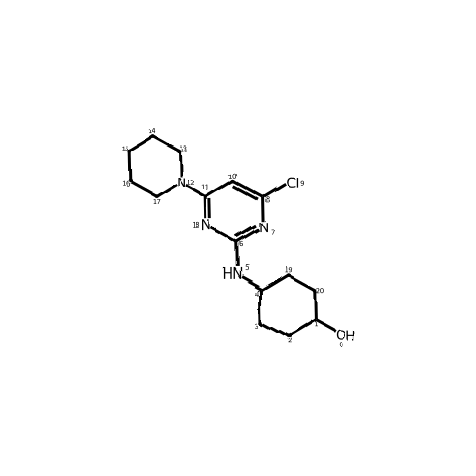 OC1CCC(Nc2nc(Cl)cc(N3CCCCC3)n2)CC1